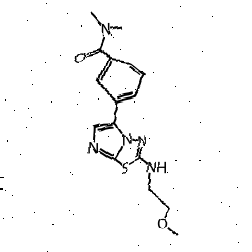 COCCNc1nn2c(-c3cccc(C(=O)N(C)C)c3)cnc2s1